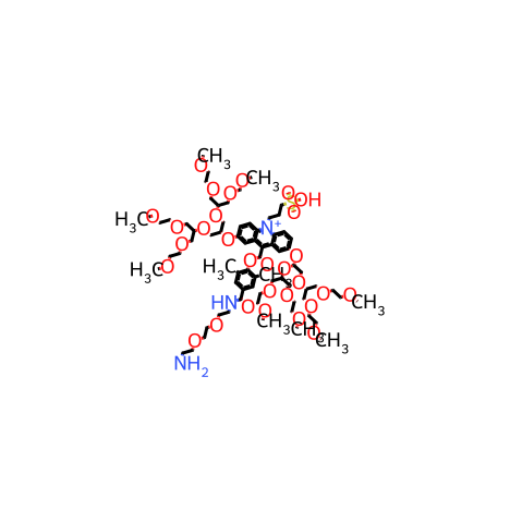 COCCOCC(COCCOC)OCC(COC(COCCOC)COCOC)Oc1ccc2c(c1)c(C(=O)Oc1c(C)cc(C(=O)NCCOCCOCCN)cc1C)c1cc(OC(COC(COCCOC)COCCOC)OC(COCCOC)COCCOC)ccc1[n+]2CCCS(=O)(=O)O